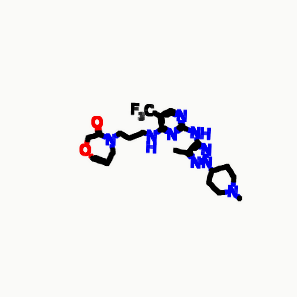 Cc1nn(C2CCN(C)CC2)nc1Nc1ncc(C(F)(F)F)c(NCCCN2CC=COCC2=O)n1